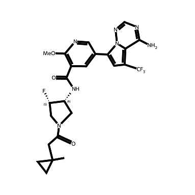 COc1ncc(-c2cc(C(F)(F)F)c3c(N)ncnn23)cc1C(=O)N[C@@H]1CN(C(=O)CC2(C)CC2)C[C@@H]1F